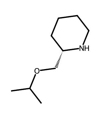 CC(C)OC[C@@H]1CCCCN1